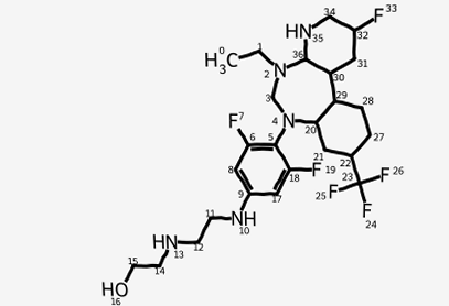 CCN1CN(c2c(F)cc(NCCNCCO)cc2F)C2CC(C(F)(F)F)CCC2C2CC(F)CNC21